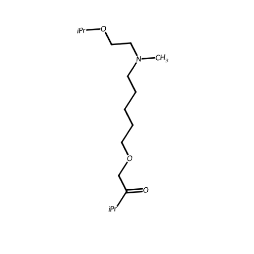 CC(C)OCCN(C)CCCCCOCC(=O)C(C)C